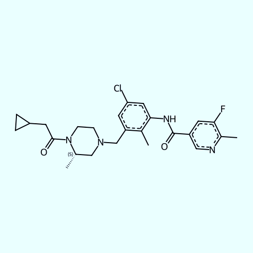 Cc1ncc(C(=O)Nc2cc(Cl)cc(CN3CCN(C(=O)CC4CC4)[C@@H](C)C3)c2C)cc1F